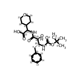 CC(C)(C)OC(=O)N[C@H](Cc1ccccc1)[C@H](O)C(=O)NC(C(=O)O)C1CCOCC1